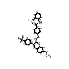 CSc1ccc(C=C(C(=O)NCc2ccc(C(=O)Nc3ccccc3N)cc2)c2ccc(C(F)(F)F)cc2)cc1